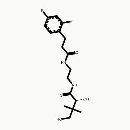 CC(C)(CO)[C@@H](O)C(=O)NCCNC(=O)CCc1ccc(F)cc1F